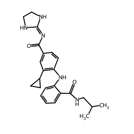 CC(C)CNC(=O)c1ccccc1Nc1ccc(C(=O)N=C2NCCN2)cc1C1CC1